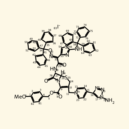 COc1ccc(COC(=O)C2=C(C[n+]3ccc(-c4cn(N)nn4)cc3)CS[C@H]3[C@H](NC(=O)C(=NOC(c4ccccc4)(c4ccccc4)c4ccccc4)c4csc(NC(c5ccccc5)(c5ccccc5)c5ccccc5)n4)C(=O)N23)cc1.[I-]